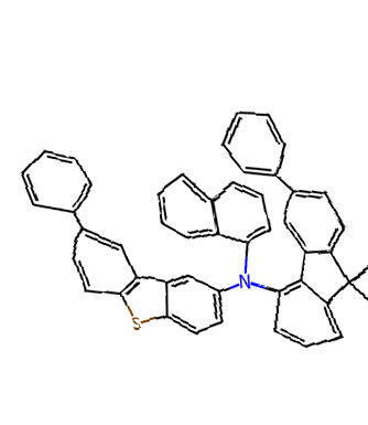 CC1(C)c2ccc(-c3ccccc3)cc2-c2c(N(c3ccc4sc5ccc(-c6ccccc6)cc5c4c3)c3cccc4ccccc34)cccc21